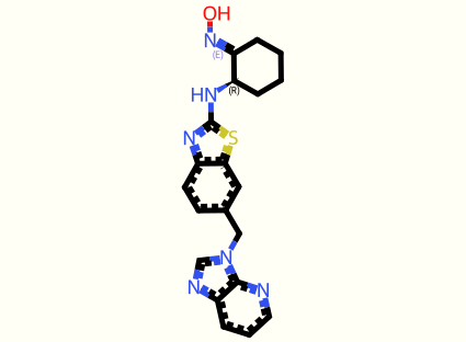 O/N=C1\CCCC[C@H]1Nc1nc2ccc(Cn3cnc4cccnc43)cc2s1